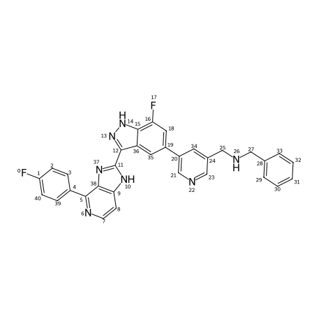 Fc1ccc(-c2nccc3[nH]c(-c4n[nH]c5c(F)cc(-c6cncc(CNCc7ccccc7)c6)cc45)nc23)cc1